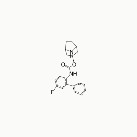 O=C(Nc1ccc(F)cc1-c1ccccc1)OC1CC2CCC(C1)N2